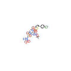 COC(=O)NCCS(=O)(=O)N1CCN(S(=O)(=O)c2ccc(-c3ccc(Cl)cc3)s2)[C@@H](C(=O)NOC(C)(C)C)C1